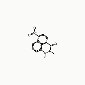 CN1C(=O)c2ccc([N+](=O)[O-])c3cccc(c23)N1C